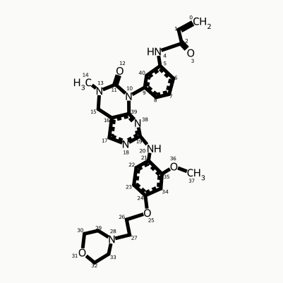 C=CC(=O)Nc1cccc(N2C(=O)N(C)Cc3cnc(Nc4ccc(OCCN5CCOCC5)cc4OC)nc32)c1